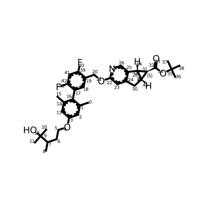 Cc1cc(OCCC(C)C(C)(C)O)cc(C)c1-c1cc(COc2cc3c(cn2)[C@H]2[C@@H](C3)[C@@H]2C(=O)OC(C)(C)C)c(F)cc1F